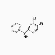 CCc1ccc(C(=N)c2ccccc2)cc1CC